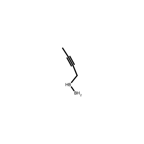 BBCC#CC